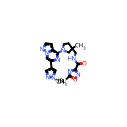 Cn1cc(-c2cn3nccc3c(N3CCC(C)(CNC(=O)c4noc(C(C)(C)C)n4)C3)n2)cn1